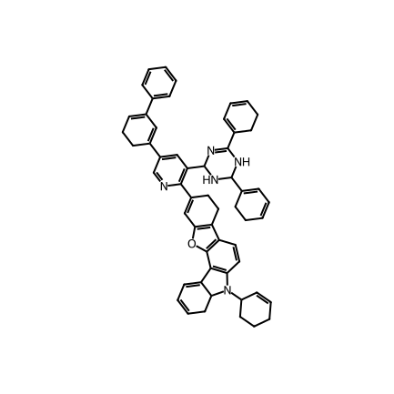 C1=CCCC(C2=NC(c3cc(C4=CC(c5ccccc5)=CCC4)cnc3C3=Cc4oc5c6c(ccc5c4CC3)N(C3C=CCCC3)C3CC=CC=C63)NC(C3=CC=CCC3)N2)=C1